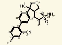 CC(CC1COCC1(O)c1ccc(-c2ccc(F)cc2C#N)cc1)S(N)(=O)=O